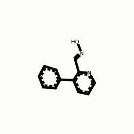 O/N=C/c1ncccc1-c1ccccc1